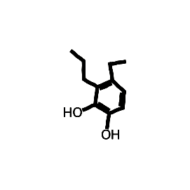 CCCc1c(CC)ccc(O)c1O